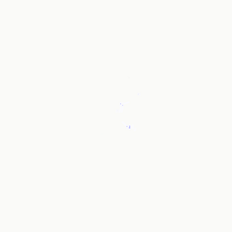 C=C(Cl)/C=C(Cl)\N=C(/N)CF